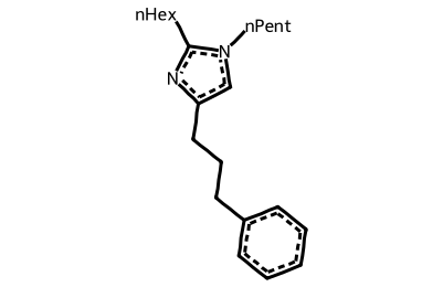 CCCCCCc1nc(CCCc2ccccc2)cn1CCCCC